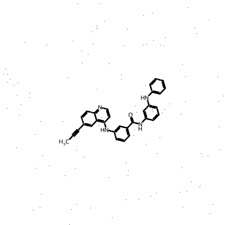 CC#Cc1ccc2nccc(Nc3cccc(C(=O)Nc4cccc(Nc5ccccc5)c4)c3)c2c1